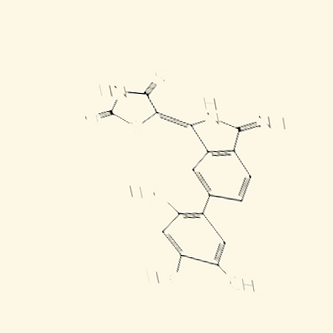 Cc1cc(C)c(-c2ccc3c(c2)/C(=C2\SC(=O)NC2=S)NC3=N)cc1C